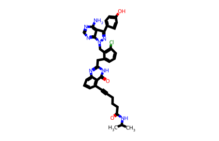 CC(C)NC(=O)CCCC#Cc1cccc2nc(Cc3cccc(Cl)c3Cn3nc(-c4ccc(O)cc4)c4c(N)ncnc43)[nH]c(=O)c12